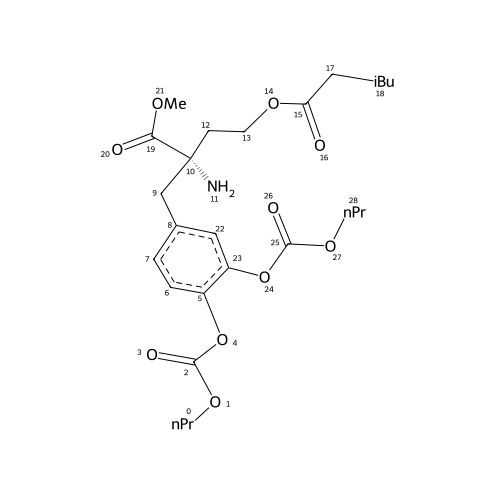 CCCOC(=O)Oc1ccc(C[C@](N)(CCOC(=O)CC(C)CC)C(=O)OC)cc1OC(=O)OCCC